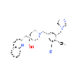 Cc1c(C#N)cc(CN2CCC(CO)(Cc3ccc4ccccc4n3)CC2)cc1Cn1ccnc1